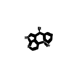 [CH2]C[C@H](c1ccccc1)c1c[nH]c2nccc(OC(C)C)c12